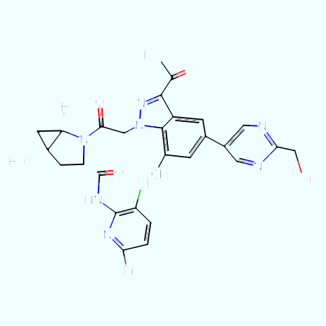 CC(=O)c1nn(CC(=O)N2[C@H](C(=O)Nc3nc(Br)ccc3Cl)C[C@@]3(C)C[C@@H]23)c2c(C)cc(-c3cnc(CO)nc3)cc12